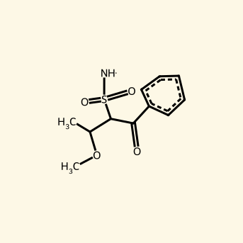 COC(C)C(C(=O)c1ccccc1)S([NH])(=O)=O